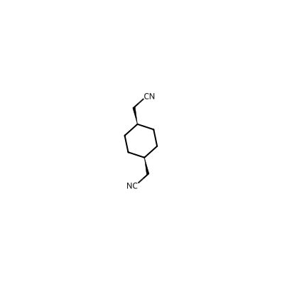 N#CC[C@H]1CC[C@@H](CC#N)CC1